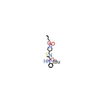 C=CCCOC(=O)N1CCC(c2nc(C(=O)Nc3ccccc3C(C)(C)C)cs2)CC1